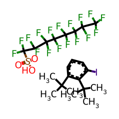 CC(C)(C)c1cccc(I)c1C(C)(C)C.O=S(=O)(O)C(F)(F)C(F)(F)C(F)(F)C(F)(F)C(F)(F)C(F)(F)C(F)(F)C(F)(F)F